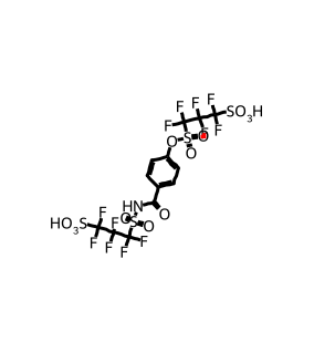 O=C(NS(=O)(=O)C(F)(F)C(F)(F)C(F)(F)S(=O)(=O)O)c1ccc(OS(=O)(=O)C(F)(F)C(F)(F)C(F)(F)S(=O)(=O)O)cc1